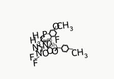 CCc1ccc(C(=O)C[C@@H]2C(=O)N(c3cncn(CC(F)F)c3=O)[C@H](C)[C@H]2c2c(F)cc(OC)cc2P)cc1